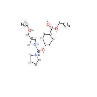 CCOC(=O)[C@H]1CC[C@H](OC(N2CCCC2)N2CC(COC)C2)CC1